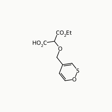 CCOC(=O)C(OCC1=CSOC=C1)C(=O)O